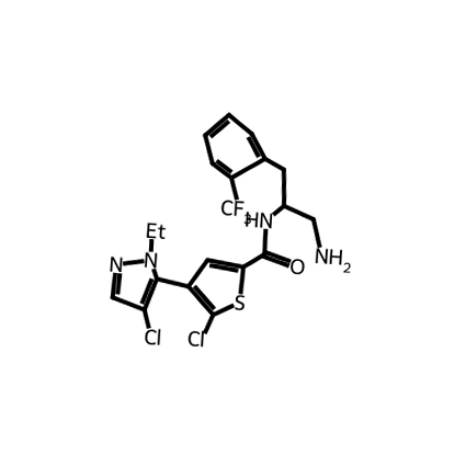 CCn1ncc(Cl)c1-c1cc(C(=O)NC(CN)Cc2ccccc2C(F)(F)F)sc1Cl